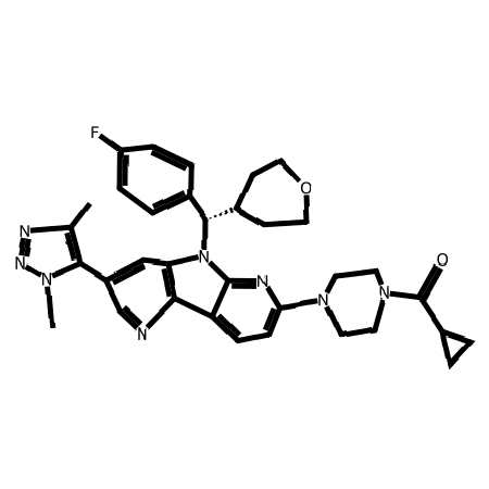 Cc1nnn(C)c1-c1cnc2c3ccc(N4CCN(C(=O)C5CC5)CC4)nc3n([C@H](c3ccc(F)cc3)C3CCOCC3)c2c1